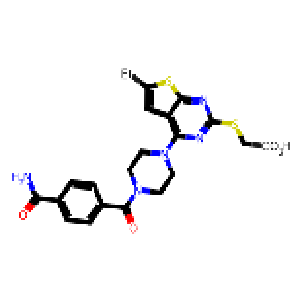 CCc1cc2c(N3CCN(C(=O)c4ccc(C(N)=O)cc4)CC3)nc(SCC(=O)O)nc2s1